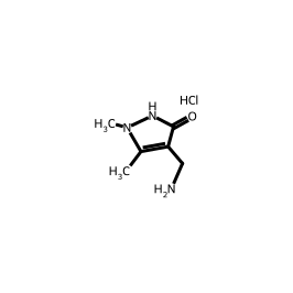 Cc1c(CN)c(=O)[nH]n1C.Cl